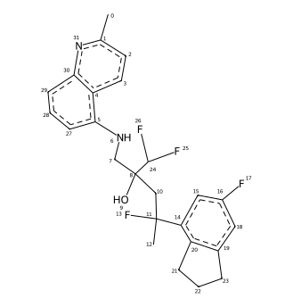 Cc1ccc2c(NCC(O)(CC(C)(F)c3cc(F)cc4c3CCC4)C(F)F)cccc2n1